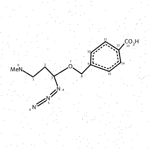 CNCCC(N=[N+]=[N-])OCc1ccc(C(=O)O)cc1